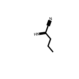 CCCC(=N)C#N